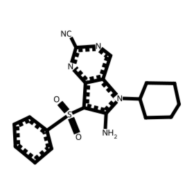 N#Cc1ncc2c(n1)c(S(=O)(=O)c1ccccc1)c(N)n2C1CCCCC1